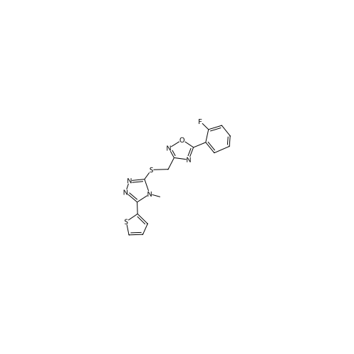 Cn1c(SCc2noc(-c3ccccc3F)n2)nnc1-c1cccs1